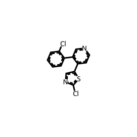 Clc1ncc(-c2ccncc2-c2ccccc2Cl)s1